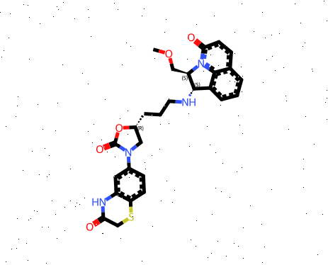 COC[C@@H]1[C@@H](NCCC[C@@H]2CN(c3ccc4c(c3)NC(=O)CS4)C(=O)O2)c2cccc3ccc(=O)n1c23